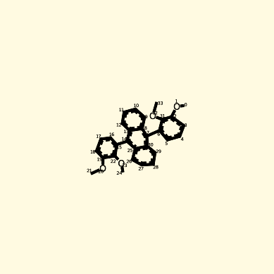 COc1cccc(-c2c3ccccc3c(-c3cccc(OC)c3OC)c3ccccc23)c1OC